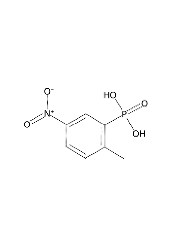 Cc1ccc([N+](=O)[O-])cc1P(=O)(O)O